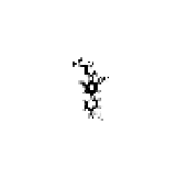 CNC(=O)CN(C)c1c(O)cc(N2CCC(N)CC2)cc1F